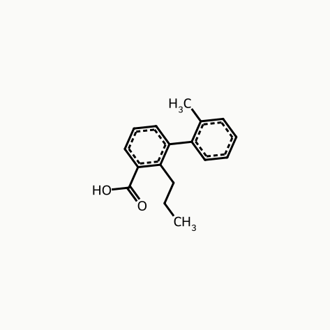 CCCc1c(C(=O)O)cccc1-c1ccccc1C